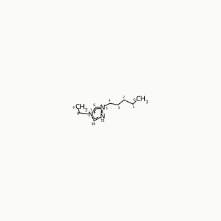 CCCCCn1c[n+](CC)cn1